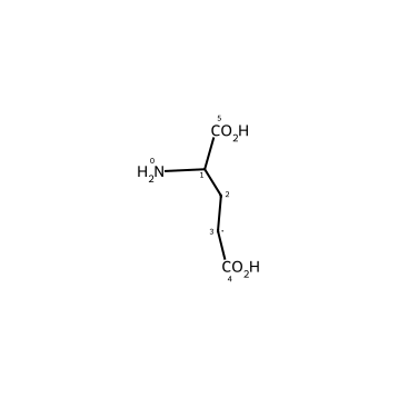 NC(C[CH]C(=O)O)C(=O)O